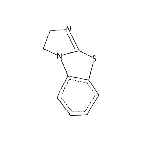 c1ccc2c(c1)SC1=NCCN12